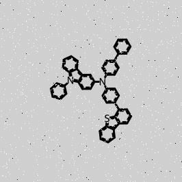 c1ccc(-c2ccc(N(c3ccc(-c4cccc5c4sc4ccccc45)cc3)c3ccc4c(c3)c3ccccc3n4-c3ccccc3)cc2)cc1